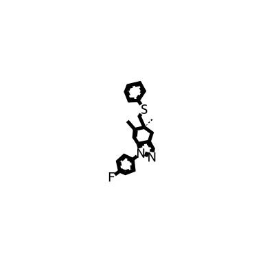 CC1=Cc2c(cnn2-c2ccc(F)cc2)C[C@]1(C)CSc1ccccc1